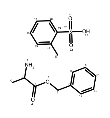 CC(N)C(=O)OCc1ccccc1.Cc1ccccc1S(=O)(=O)O